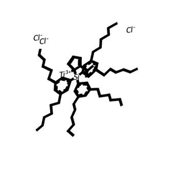 CCCCCCc1cc(CCCCCC)cc([Si](c2cc(CCCCCC)cc(CCCCCC)c2)(c2cc(CCCCCC)cc(CCCCCC)c2)[C]2([Ti+3])C=CC=C2C(C)C)c1.[Cl-].[Cl-].[Cl-]